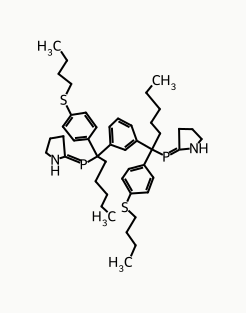 CCCCCC(/P=C1\CCCN1)(c1ccc(SCCCC)cc1)c1cccc(C(CCCCC)(/P=C2\CCCN2)c2ccc(SCCCC)cc2)c1